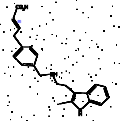 Cc1[nH]c2ccccc2c1CCNCc1ccc(C/C=C/C(=O)O)cc1